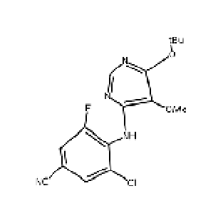 COc1c(Nc2c(F)cc(C#N)cc2Cl)ncnc1OC(C)(C)C